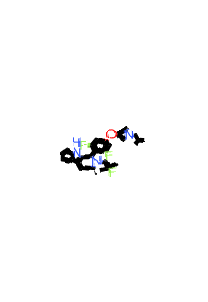 CC(C)CN1CC(Oc2cc(F)c(C3c4[nH]c5ccccc5c4C[C@@H](C)N3CC(C)(C)F)c(F)c2)C1